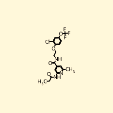 CCC(=O)Nc1cc(C(=O)NCCOc2ccc(OC(F)(F)F)cc2Cl)cc(C)n1